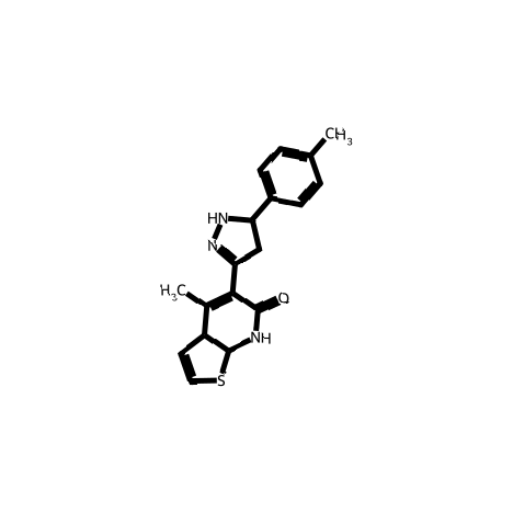 CC1=C(C2=NNC(c3ccc(C)cc3)C2)C(=O)NC2SC=CC12